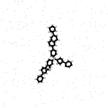 c1ccc(-c2ccc(N(c3ccc(-c4ccc5cc(-c6ccccc6)ccc5c4)cc3)c3ccc4c(c3)oc3cc(-c5ccccc5)ccc34)cc2)cc1